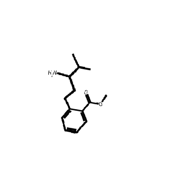 COC(=O)c1ccccc1CCC(N)C(C)C